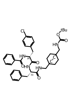 CC(C)(C)OC(=O)NCC12CCC(CNC(=O)[C@H](Cc3ccccc3)NC(=O)[C@@H](Cc3ccc(Cl)cc3)NC(=O)c3ccccc3)(CC1)CC2